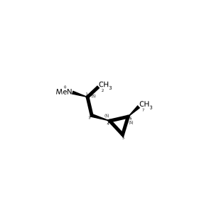 CN[C@@H](C)C[C@@H]1C[C@@H]1C